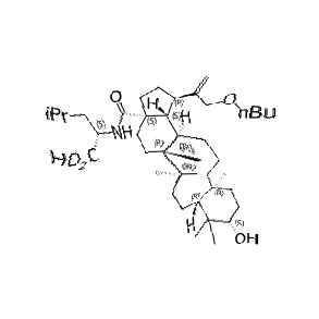 C=C(COCCCC)[C@@H]1CC[C@]2(C(=O)N[C@@H](CC(C)C)C(=O)O)CC[C@]3(C)[C@H](CCC4[C@@]5(C)CC[C@H](O)C(C)(C)[C@@H]5CC[C@]43C)[C@@H]12